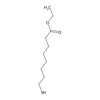 CCOC(=O)CCCCCCCS